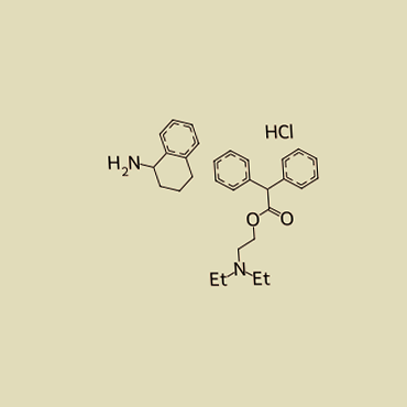 CCN(CC)CCOC(=O)C(c1ccccc1)c1ccccc1.Cl.NC1CCCc2ccccc21